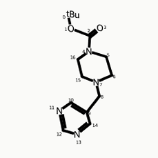 CC(C)(C)OC(=O)N1CCN(Cc2cncnc2)CC1